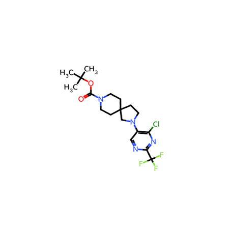 CC(C)(C)OC(=O)N1CCC2(CC1)CCN(c1cnc(C(F)(F)F)nc1Cl)C2